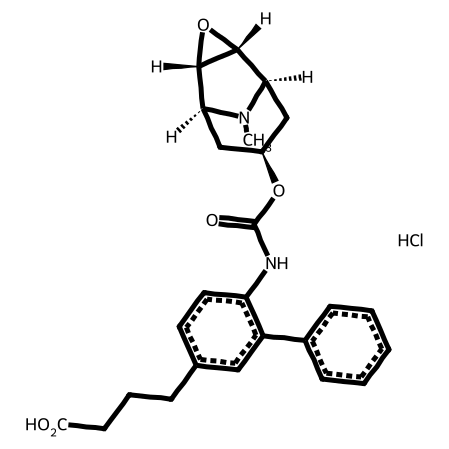 CN1[C@@H]2C[C@@H](OC(=O)Nc3ccc(CCCC(=O)O)cc3-c3ccccc3)C[C@H]1[C@@H]1O[C@@H]12.Cl